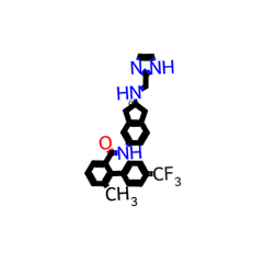 Cc1cccc(C(=O)Nc2ccc3c(c2)C[C@@H](NCc2ncc[nH]2)C3)c1-c1ccc(C(F)(F)F)cc1